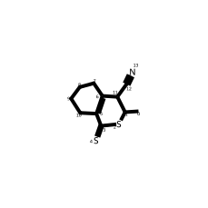 CC1SC(=S)C2=C(CCCC2)C1C#N